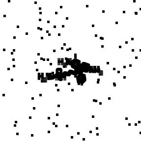 NCCNC(=O)CCCCC[n+]1c(-c2ccccc2)c2cc(N)ccc2c2ccc(N)cc21